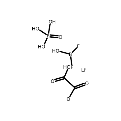 O=C([O-])C(=O)O.O=P(O)(O)O.OB(F)F.[Li+]